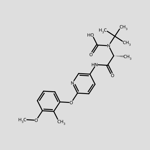 COc1cccc(Oc2ccc(NC(=O)[C@@H](C)N(C(=O)O)C(C)(C)C)cn2)c1C